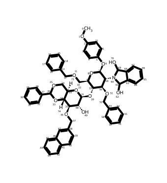 COc1ccc(O[C@@H]2O[C@H](COCc3ccccc3)[C@@H](O[C@@H]3O[C@@H]4COC(c5ccccc5)O[C@H]4[C@H](OCc4ccc5ccccc5c4)[C@H]3O)[C@H](OCc3ccccc3)[C@H]2N2C(O)c3ccccc3C2O)cc1